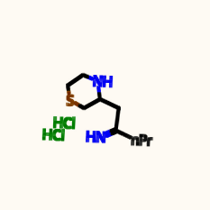 CCCC(=N)CC1CSCCN1.Cl.Cl